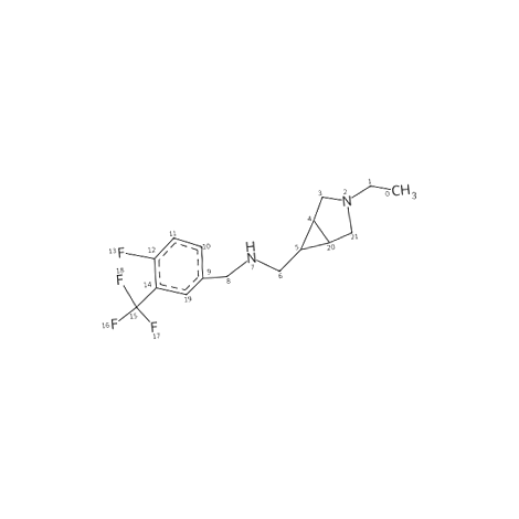 CCN1CC2C(CNCc3ccc(F)c(C(F)(F)F)c3)C2C1